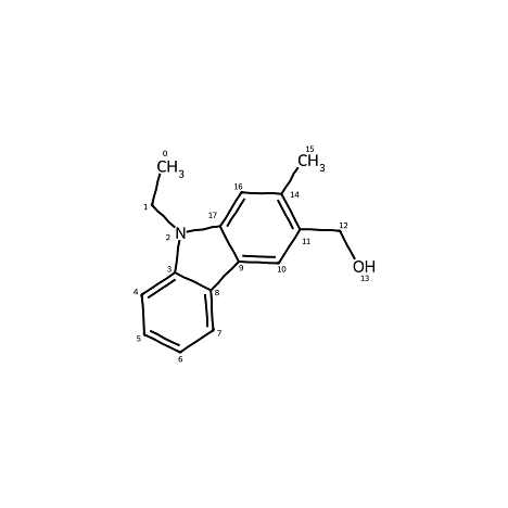 CCn1c2ccccc2c2cc(CO)c(C)cc21